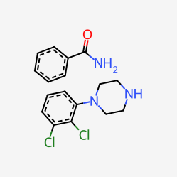 Clc1cccc(N2CCNCC2)c1Cl.NC(=O)c1ccccc1